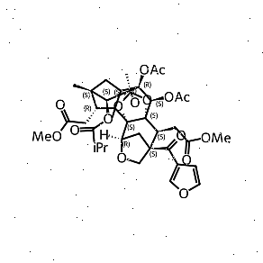 COC(=O)C[C@H]1C2(C)[C@@]34C[C@]1(C)[C@H](OC(=O)C(C)C)[C@@]3(OC(C)=O)[C@@H](OC(C)=O)[C@]13O[C@@](C)(O4)O[C@]21[C@H]1C[C@@](C(=O)c2ccoc2)(CO1)[C@@H]3CC(=O)OC